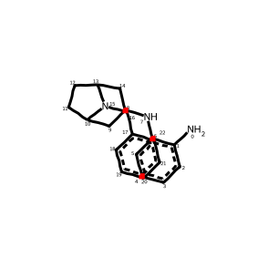 Nc1ccccc1NC1CC2CCC(C1)N2Cc1ccccc1